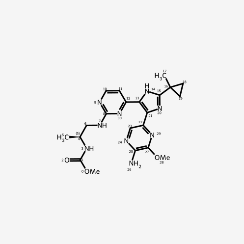 COC(=O)N[C@@H](C)CNc1nccc(-c2[nH]c(C3(C)CC3)nc2-c2cnc(N)c(OC)n2)n1